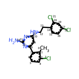 Cc1c(Cl)cccc1-c1cc(NCCc2ccc(Cl)cc2Cl)nc(N)n1